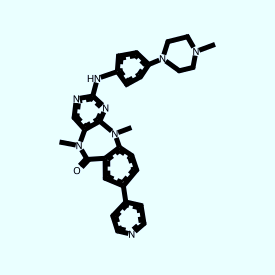 CN1CCN(c2ccc(Nc3ncc4c(n3)N(C)c3ccc(-c5ccncc5)cc3C(=O)N4C)cc2)CC1